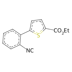 [C-]#[N+]c1ccccc1-c1ccc(C(=O)OCC)s1